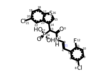 O=C(N/C=C/c1cc(Cl)ccc1F)C(c1csc2ccc(Cl)cc12)P(=O)(O)O